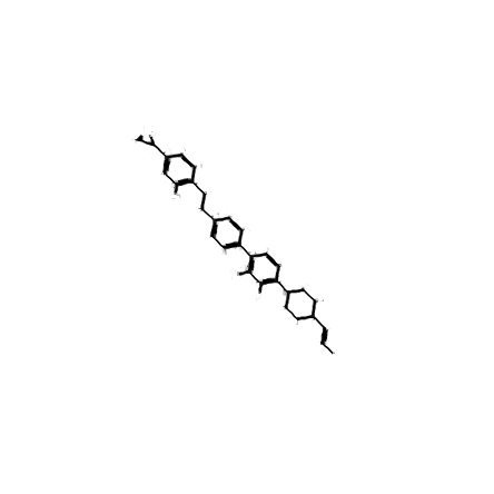 C/C=C/C1CCC(c2ccc(-c3ccc(CCc4ccc(C5CO5)cc4F)cc3)c(F)c2F)CC1